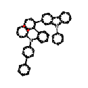 c1ccc(-c2ccc(N(c3ccccc3)c3ccccc3-c3ccccc3-c3ccc4c5ccccc5n(-c5ccccc5)c4c3)cc2)cc1